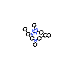 c1ccc(-c2ccc3c4ccc(N(c5ccccc5)c5ccc(-c6ccc7ccccc7c6)cc5)cc4n(-c4nc(-c5ccccc5)nc(-c5ccccc5)n4)c3c2)cc1